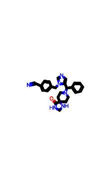 N#Cc1ccc(Cn2cncc2C(c2ccccc2)N2CCC3(CC2)NCNC3=O)cc1